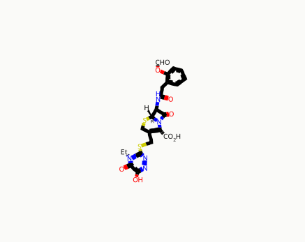 CCn1c(SCC2=C(C(=O)O)N3C(=O)C(NC(=O)Cc4ccccc4OC=O)[C@H]3SC2)nnc(O)c1=O